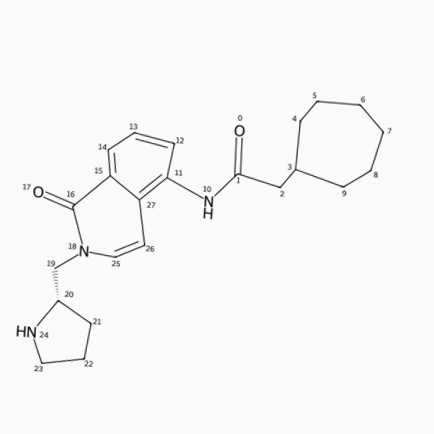 O=C(CC1CCCCCC1)Nc1cccc2c(=O)n(C[C@@H]3CCCN3)ccc12